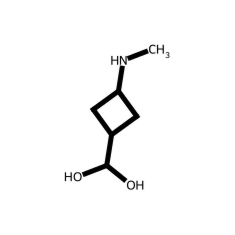 CNC1CC(C(O)O)C1